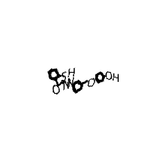 O=C1C(=NNc2cccc(COc3ccc(O)cc3)c2)Sc2ccccc21